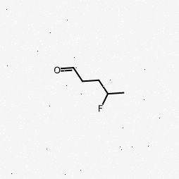 CC(F)CC[C]=O